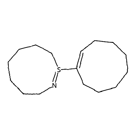 C1=C(S2=NCCCCCCC2)CCCCCCC1